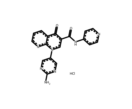 Cl.Nc1ncc(-n2cc(C(=O)Nc3ccncc3)c(=O)c3cccnc32)cn1